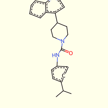 CC(C)c1ccc(NC(=O)N2CCC(c3ccnc4ccccc34)CC2)cc1